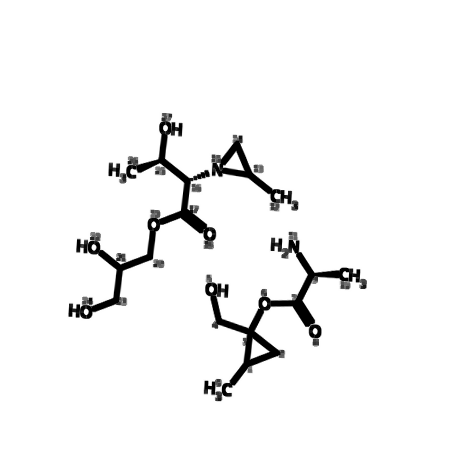 CC1CC1(CO)OC(=O)[C@H](C)N.CC1CN1[C@H](C(=O)OCC(O)CO)[C@@H](C)O